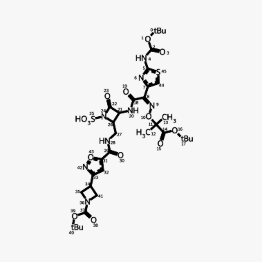 CC(C)(C)OC(=O)Nc1nc(/C(=N/OC(C)(C)C(=O)OC(C)(C)C)C(=O)NC2C(=O)N(S(=O)(=O)O)C2CNC(=O)c2cc(C3CN(C(=O)OC(C)(C)C)C3)no2)cs1